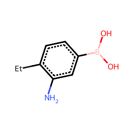 CCc1ccc(B(O)O)cc1N